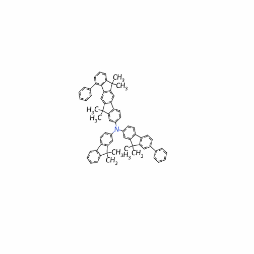 CC1(C)c2ccccc2-c2ccc(N(c3ccc4c(c3)C(C)(C)c3cc(-c5ccccc5)ccc3-4)c3ccc4c(c3)C(C)(C)c3cc5c(cc3-4)C(C)(C)c3cccc(-c4ccccc4)c3-5)cc21